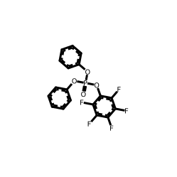 O=P(Oc1ccccc1)(Oc1ccccc1)Oc1c(F)c(F)c(F)c(F)c1F